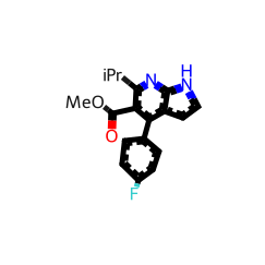 COC(=O)c1c(C(C)C)nc2[nH]ccc2c1-c1ccc(F)cc1